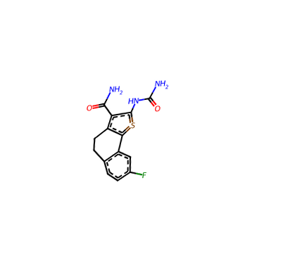 NC(=O)Nc1sc2c(c1C(N)=O)CCc1ccc(F)cc1-2